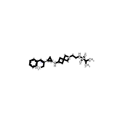 CC/C(=C\c1ccccc1)[C@H]1C[C@@H]1NC1CC2(C1)CN(CCNS(=O)(=O)C(C)C)C2